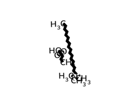 CCCCCCCCCCCCCCCCCC[N+](C)(C)C.CCCS(=O)(=O)O